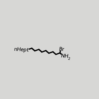 CCCCCCCCCCCCCCCC(N)Br